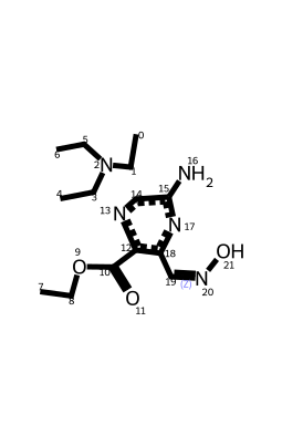 CCN(CC)CC.CCOC(=O)c1ncc(N)nc1/C=N\O